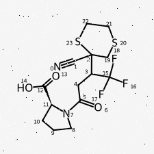 N#CC1(C(CC(=O)N2CCC[C@H]2C(=O)O)C(F)(F)F)CSCCS1